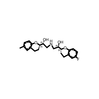 Cc1ccc2c(c1)CC[C@H]([C@H](O)CNC[C@@H](O)[C@H]1CCc3cc(F)ccc3O1)O2